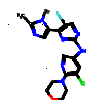 Cc1ncc(-c2nc(Nc3cnc(N4CCOCC4)c(Cl)c3)ncc2F)n1C(C)C